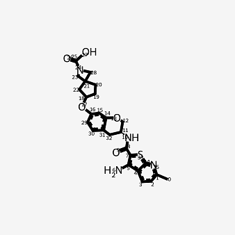 Cc1ccc2c(N)c(C(=O)N[C@H]3COc4cc(OC5CCC6(C5)CN(C(=O)O)C6)ccc4C3)sc2n1